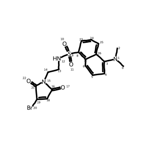 CN(C)c1cccc2c(S(=O)(=O)NCCN3C(=O)C=C(Br)C3=O)cccc12